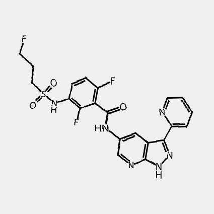 O=C(Nc1cnc2[nH]nc(-c3ccccn3)c2c1)c1c(F)ccc(NS(=O)(=O)CCCF)c1F